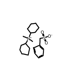 C[N+](C)(C1CCCCC1)C1CCCCC1.O=S(=O)([O-])Cc1ccccc1